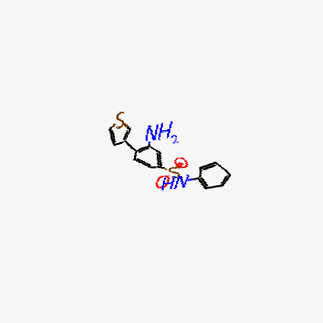 Nc1cc(S(=O)(=O)Nc2ccccc2)ccc1-c1ccsc1